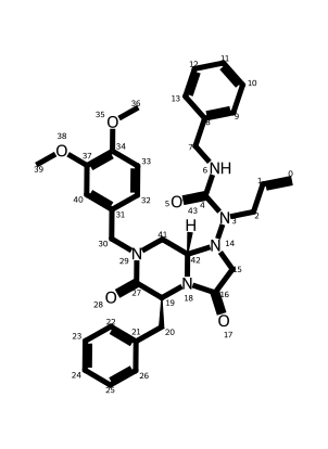 C=CCN(C(=O)NCc1ccccc1)N1CC(=O)N2[C@@H](Cc3ccccc3)C(=O)N(Cc3ccc(OC)c(OC)c3)C[C@@H]21